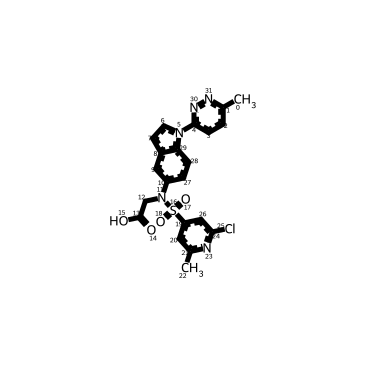 Cc1ccc(-n2ccc3cc(N(CC(=O)O)S(=O)(=O)c4cc(C)nc(Cl)c4)ccc32)nn1